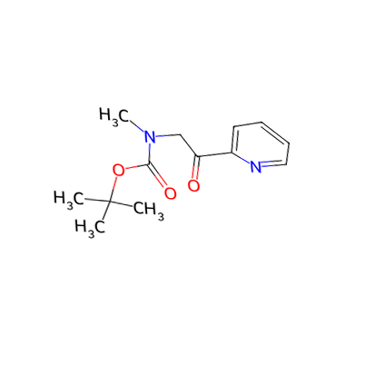 CN(CC(=O)c1ccccn1)C(=O)OC(C)(C)C